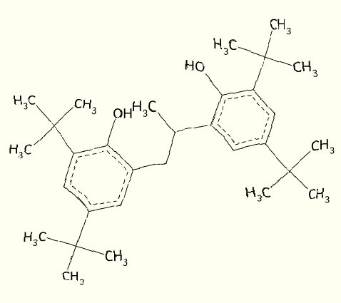 CC(Cc1cc(C(C)(C)C)cc(C(C)(C)C)c1O)c1cc(C(C)(C)C)cc(C(C)(C)C)c1O